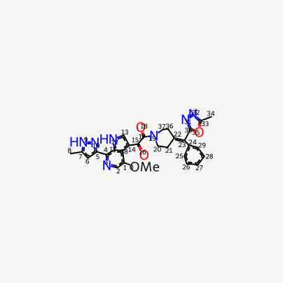 COc1cnc(-c2cc(C)[nH]n2)c2[nH]cc(C(=O)C(=O)N3CCC(=C(c4ccccc4)c4nnc(C)o4)CC3)c12